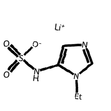 CCn1cncc1NS(=O)(=O)[O-].[Li+]